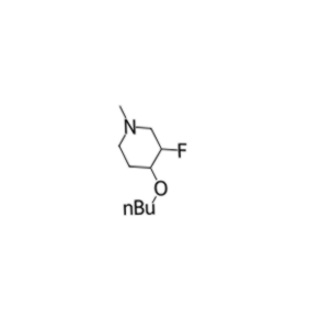 CCCCOC1CCN(C)CC1F